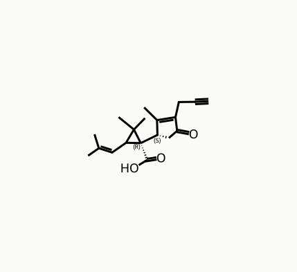 C#CCC1=C(C)[C@@H]([C@@]2(C(=O)O)C(C=C(C)C)C2(C)C)CC1=O